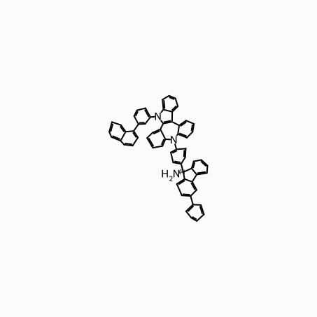 N[C@]1(c2ccc(N3c4ccccc4-c4c(n(-c5cccc(-c6cccc7ccccc67)c5)c5ccccc45)-c4ccccc43)cc2)c2ccccc2-c2cc(-c3ccccc3)ccc21